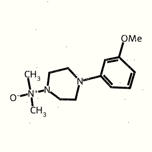 COc1cccc(N2CCN([N+](C)(C)[O-])CC2)c1